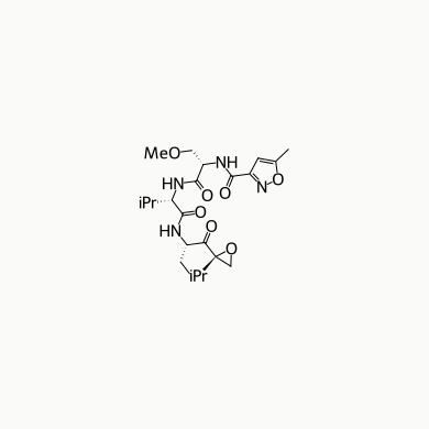 COC[C@H](NC(=O)c1cc(C)on1)C(=O)N[C@H](C(=O)N[C@@H](CC(C)C)C(=O)[C@@]1(C)CO1)C(C)C